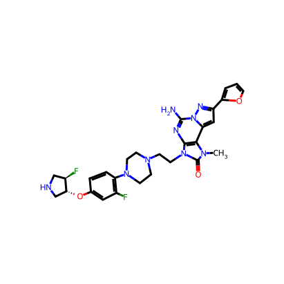 Cn1c(=O)n(CCN2CCN(c3ccc(O[C@@H]4CNC[C@H]4F)cc3F)CC2)c2nc(N)n3nc(-c4ccco4)cc3c21